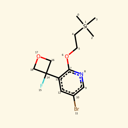 C[Si](C)(C)CCOc1ncc(Br)cc1C1(F)COC1